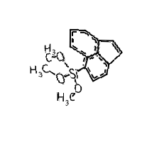 CO[Si](OC)(OC)c1ccc2c3c(cccc13)C=C2